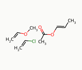 C=CCl.C=COC.CC=COC(C)=O